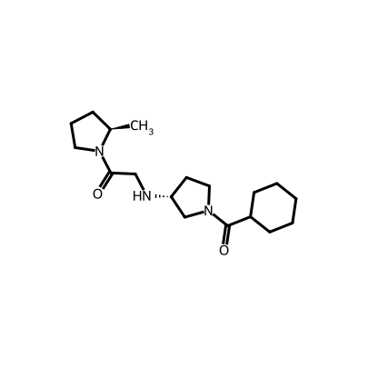 C[C@@H]1CCCN1C(=O)CN[C@@H]1CCN(C(=O)C2CCCCC2)C1